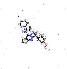 COc1ccc(-c2c(C)nn3c(NC(C)C4CCCCC4)c4c(nc23)CCC4)c(C)c1